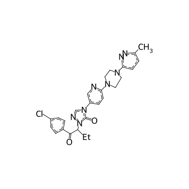 CCC(C(=O)c1ccc(Cl)cc1)n1ncn(-c2ccc(N3CCN(c4ccc(C)nn4)CC3)nc2)c1=O